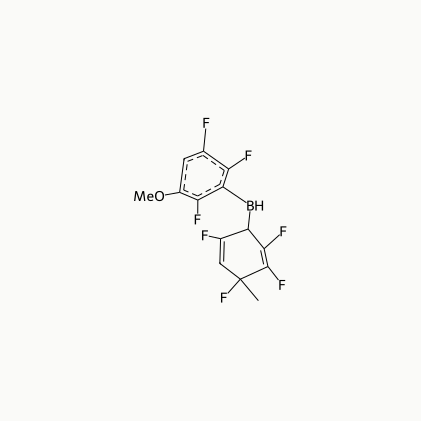 COc1cc(F)c(F)c(BC2C(F)=CC(C)(F)C(F)=C2F)c1F